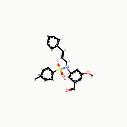 COc1cc(C=O)cc(N(C/C=C/c2ccccc2)S(=O)(=O)c2ccc(C)cc2)c1